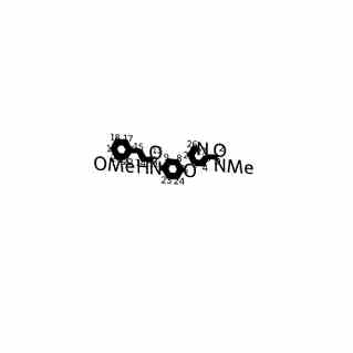 CNC(=O)c1cc(Oc2ccc(NC(=O)C=Cc3ccccc3OC)cc2)ccn1